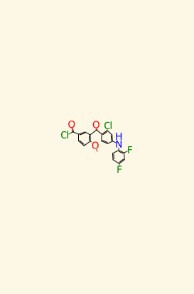 COc1ccc(C(=O)Cl)cc1C(=O)c1ccc(Nc2ccc(F)cc2F)cc1Cl